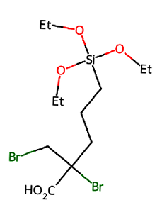 CCO[Si](CCCC(Br)(CBr)C(=O)O)(OCC)OCC